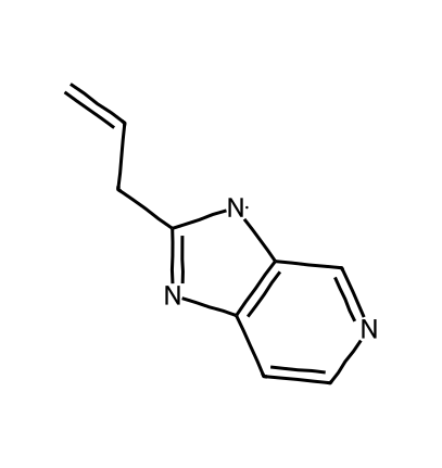 C=CCC1=Nc2ccncc2[N]1